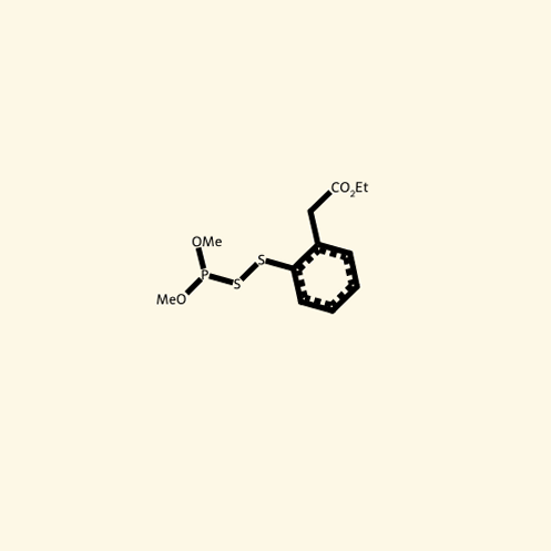 CCOC(=O)Cc1ccccc1SSP(OC)OC